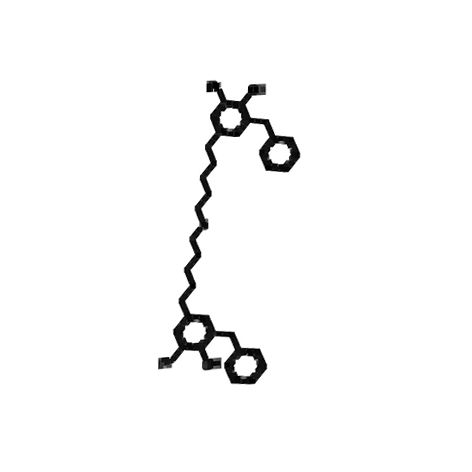 CC(C)c1cc(CCCCCSCCCCCc2cc(Cc3ccccc3)c(O)c(C(C)C)c2)cc(Cc2ccccc2)c1O